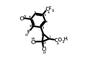 O=C(O)C1C(c2cc(C(F)(F)F)cc(Cl)c2F)C1(Cl)Cl